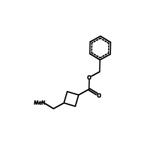 CNCC1CC(C(=O)OCc2ccccc2)C1